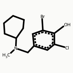 CN(Cc1cc(Cl)c(O)c(Br)c1)C1CCCCC1